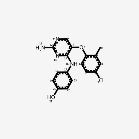 Cc1cc(Cl)ccc1Oc1cnc(N)nc1Nc1ccc(O)cc1